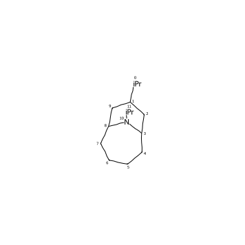 CC(C)C1CC2CCCCC(C1)N2C(C)C